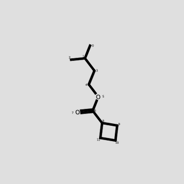 CC(C)CCOC(=O)C1CCC1